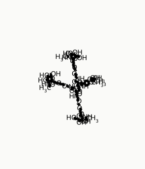 CC(=O)NC1C(OCCOCCOCCNC(=O)CN(CC(=O)NCCOCCOCCOC2OC(CO)C(O)C(O)C2NC(C)=O)C(=O)C(CCC(=O)NCCOCCOCCOC2OC(CO)[C@H](O)C(O)C2NC(C)=O)NC(=O)C2CCC(OP(=O)(O)C(C)(C)C)CC2)OC(CO)C(O)C1O